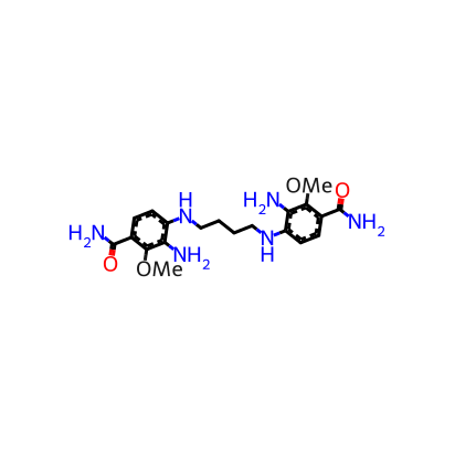 COc1c(C(N)=O)ccc(NCCCCNc2ccc(C(N)=O)c(OC)c2N)c1N